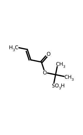 CC=CC(=O)OC(C)(C)S(=O)(=O)O